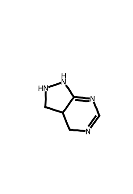 C1=NCC2CNNC2=N1